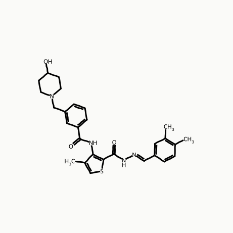 Cc1ccc(C=NNC(=O)c2scc(C)c2NC(=O)c2cccc(CN3CCC(O)CC3)c2)cc1C